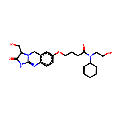 O=C1NC2=Nc3ccc(OCCCC(=O)N(CCO)C4CCCCC4)cc3CN2C1CO